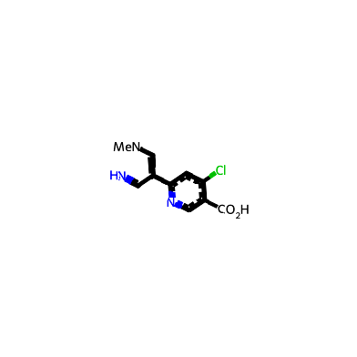 CN/C=C(\C=N)c1cc(Cl)c(C(=O)O)cn1